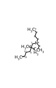 CCCCN(CC)CC(C)(C)CCCC